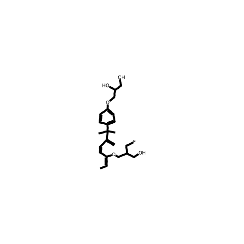 C=C(/C=C\C(=C/C)OCC(CO)CF)C(C)(C)c1ccc(OCC(O)CO)cc1